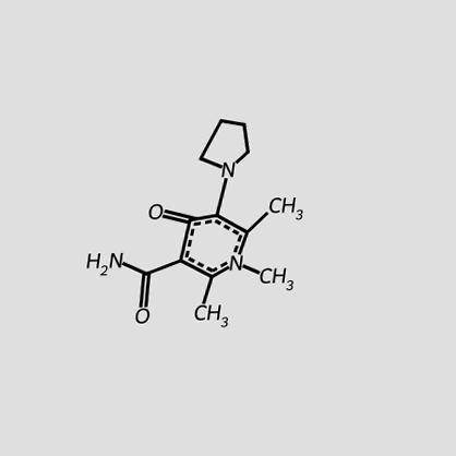 Cc1c(C(N)=O)c(=O)c(N2CCCC2)c(C)n1C